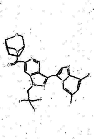 O=C(c1cc2c(cn1)c(-c1cnc3c(F)cc(F)cn13)nn2CC(F)(F)F)N1C2CCC1COC2